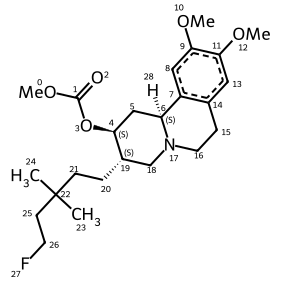 COC(=O)O[C@H]1C[C@H]2c3cc(OC)c(OC)cc3CCN2C[C@@H]1CCC(C)(C)CCF